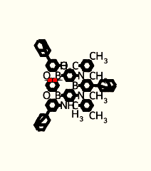 Cc1cc(C)c(N2c3cc4c(cc3B3c5cc6c(cc5N(c5c(C)cc(C)cc5C)c5cc(C78CC9CC(CC(C9)C7)C8)cc2c53)Oc2cc(C35CC7CC(CC(C7)C3)C5)cc3c2B6c2ccccc2O3)B2c3ccccc3Oc3cc(C56CC7CC(CC(C7)C5)C6)cc(c32)N4)c(C)c1